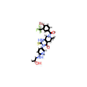 CC(O)CNc1ccc(-n2c(=S)[nH]c3c(c2=O)CC(C)N(C(=O)c2ccc(Br)c(C(F)(F)F)c2)C3)cn1